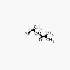 C=C(C)C(=O)OOC(C)OCC